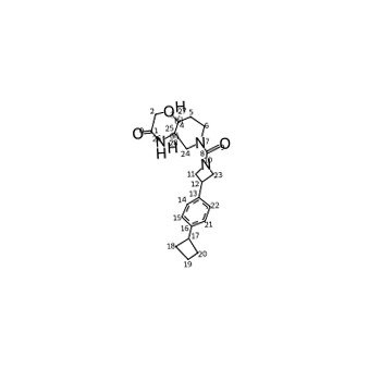 O=C1CO[C@H]2CCN(C(=O)N3CC(c4ccc(C5CCC5)cc4)C3)C[C@H]2N1